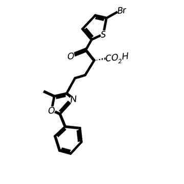 Cc1oc(-c2ccccc2)nc1CC[C@@H](C(=O)O)C(=O)c1ccc(Br)s1